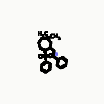 CC1(C)CCCN(S(=O)(=O)c2ccccc2)C(/C=C/c2ccccc2)C1